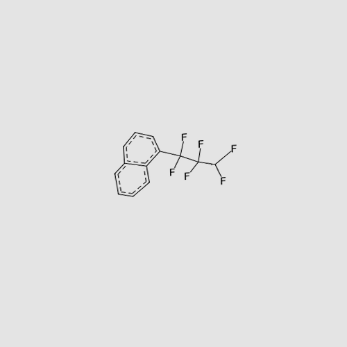 F[C](F)C(F)(F)C(F)(F)c1cccc2ccccc12